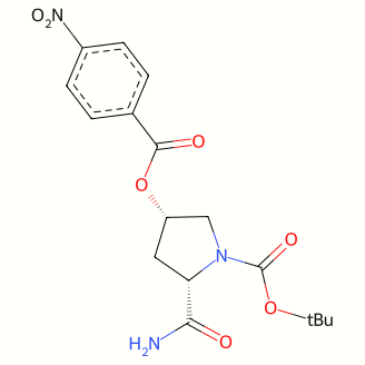 CC(C)(C)OC(=O)N1C[C@@H](OC(=O)c2ccc([N+](=O)[O-])cc2)C[C@H]1C(N)=O